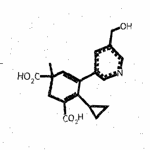 CC1(C(=O)O)C=C(c2cncc(CO)c2)C(C2CC2)=C(C(=O)O)C1